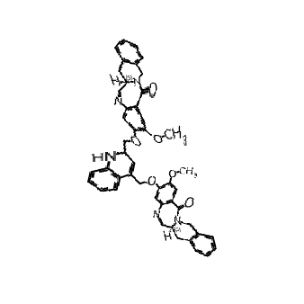 COc1cc2c(cc1OCC1=CC(COc3cc4c(cc3OC)C(=O)N3Cc5ccccc5C[C@H]3C=N4)Nc3ccccc31)N=C[C@@H]1Cc3ccccc3CN1C2=O